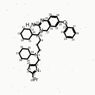 CC(C)c1nc(CN(CCC[C@@H](C2CCCCC2)N2Cc3cc(Oc4ccccc4)ccc3N=C2N)C2CCCCC2)cs1